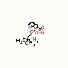 CC(C)(C)CCOC(=O)n1c(C(=O)O)cc2cccnc21